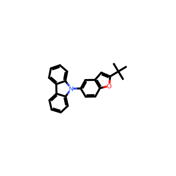 CC(C)(C)c1cc2cc(-n3c4ccccc4c4ccccc43)ccc2o1